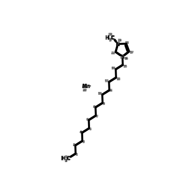 CCCCCCCCCCCCCCCCN1C=CN(C)C1.[Mn]